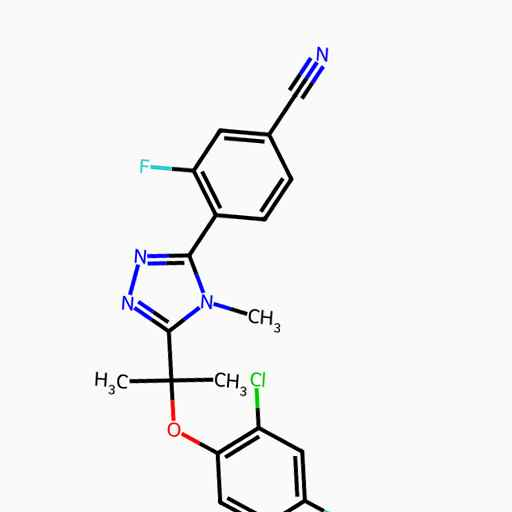 Cn1c(-c2ccc(C#N)cc2F)nnc1C(C)(C)Oc1ccc(F)cc1Cl